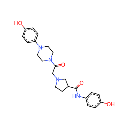 O=C(Nc1ccc(O)cc1)C1CCN(CC(=O)N2CCN(c3ccc(O)cc3)CC2)C1